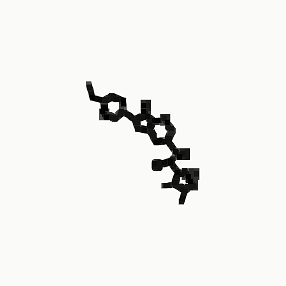 CCc1ccc(-c2cc3cc(NC(=O)c4[nH]nc(C)c4C)cnc3[nH]2)cn1